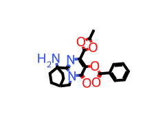 CC1OC(c2nc3n(c(=O)c2OC(=O)c2ccccc2)CC2CCC3(N)CC2)O1